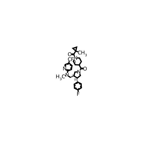 CN(C[C@H]1CN(C(=O)C2CCN(C(=O)C3(C)CC3)CC2)C[C@@H]1c1ccc(F)cc1)c1ccc(C(F)(F)F)cn1